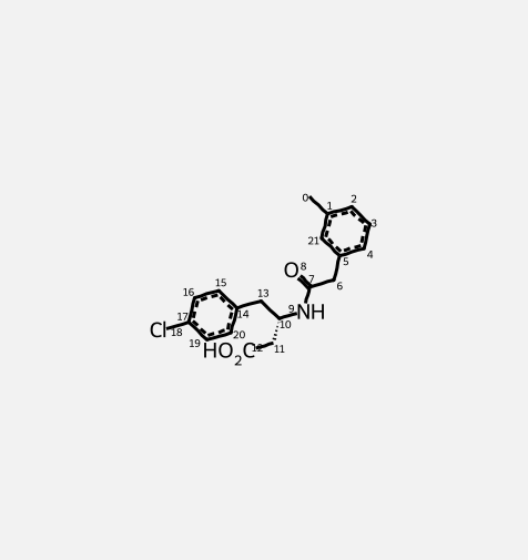 Cc1cccc(CC(=O)N[C@H](CC(=O)O)Cc2ccc(Cl)cc2)c1